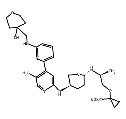 CCOC(=O)C1(OC[C@H](C)N[C@H]2CC[C@H](Nc3cc(-c4cccc(NCC5(C#N)CCOCC5)n4)c(C)cn3)CC2)CC1